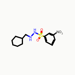 O=[N+]([O-])c1cccc(S(=O)(=O)NNCC2CCCCC2)c1